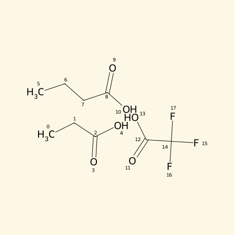 CCC(=O)O.CCCC(=O)O.O=C(O)C(F)(F)F